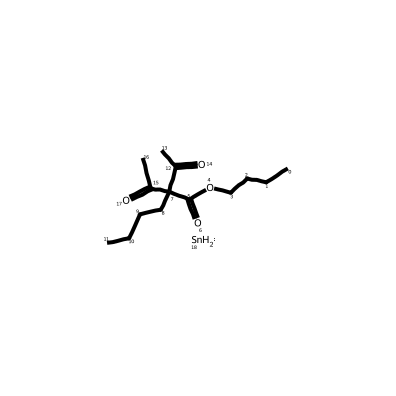 CCCCOC(=O)C(CCCC)(C(C)=O)C(C)=O.[SnH2]